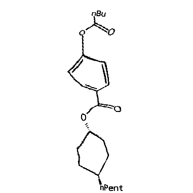 CCCCC[C@H]1CC[C@H](OC(=O)c2ccc(OC(=O)CCCC)cc2)CC1